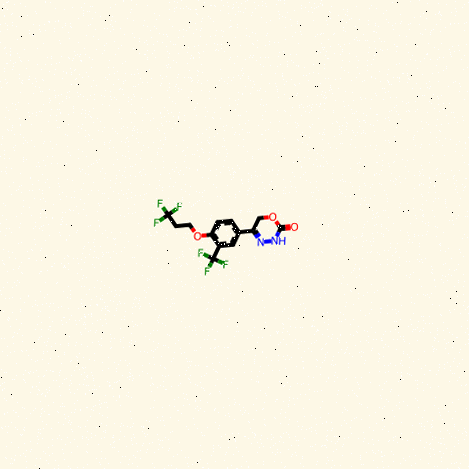 O=C1NN=C(c2ccc(OCCC(F)(F)F)c(C(F)(F)F)c2)CO1